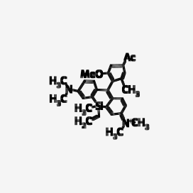 C=C[Si]1(C)C2=CC(=[N+](C)C)C=CC2=C(c2c(C)cc(C(C)=O)cc2OC)c2ccc(N(C)C)cc21